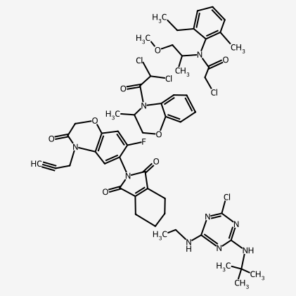 C#CCN1C(=O)COc2cc(F)c(N3C(=O)C4=C(CCCC4)C3=O)cc21.CC1COc2ccccc2N1C(=O)C(Cl)Cl.CCNc1nc(Cl)nc(NC(C)(C)C)n1.CCc1cccc(C)c1N(C(=O)CCl)C(C)COC